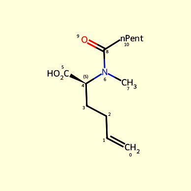 C=CCC[C@@H](C(=O)O)N(C)C(=O)CCCCC